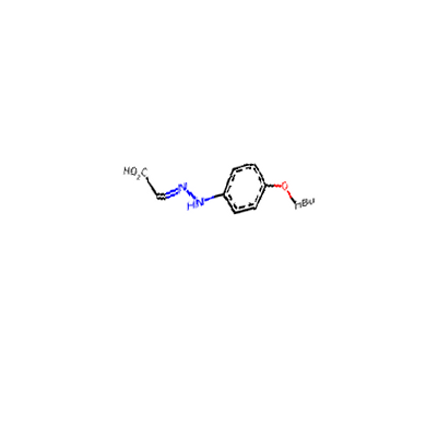 CCCCOc1ccc(N/N=C/C(=O)O)cc1